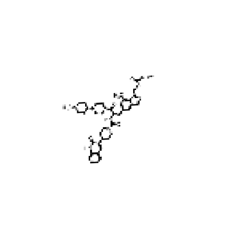 CCCCCCC(=O)OCn1ncc2cc(CC(NC(=O)N3CCC(c4cc5ccccc5[nH]c4=O)CC3)C(=O)N3CCN(C4CCN(C)CC4)CC3)cc(C)c21